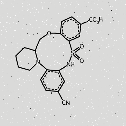 N#Cc1ccc2c(c1)NS(=O)(=O)c1cc(C(=O)O)ccc1OCC1CCCCN21